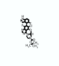 CC(C)(C)OC(=O)N1CCN2c3ncnc4c(F)c(-c5c(F)ccc6[nH]ncc56)c(Cl)c(c34)OC[C@@H]2C1